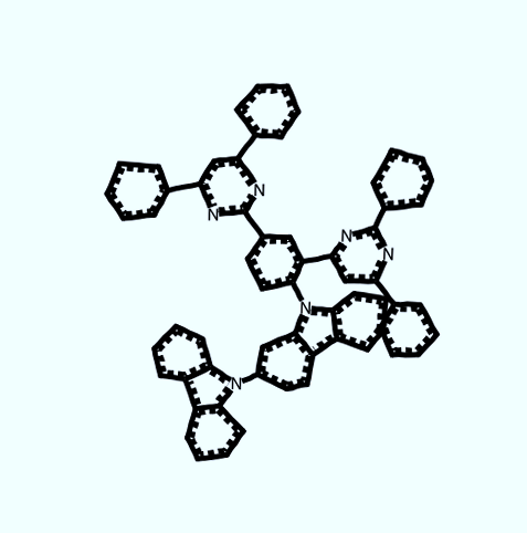 c1ccc(-c2cc(-c3ccccc3)nc(-c3ccc(-n4c5ccccc5c5ccc(-n6c7ccccc7c7ccccc76)cc54)c(-c4cc(-c5ccccc5)nc(-c5ccccc5)n4)c3)n2)cc1